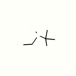 OCN(O)C(Cl)(Cl)Cl